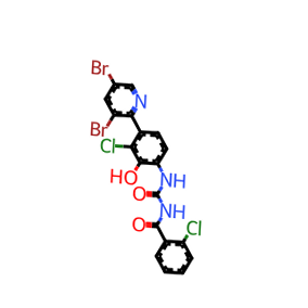 O=C(NC(=O)c1ccccc1Cl)Nc1ccc(-c2ncc(Br)cc2Br)c(Cl)c1O